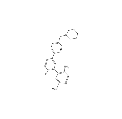 COc1cc(-c2cc(-c3ccc(CN4CCCCC4)cc3)cnc2F)c(N)cn1